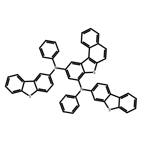 c1ccc(N(c2ccc3sc4ccccc4c3c2)c2cc(N(c3ccccc3)c3ccc4c(c3)sc3ccccc34)c3sc4ccc5ccccc5c4c3c2)cc1